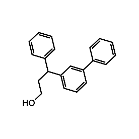 OCCC(c1ccccc1)c1cccc(-c2ccccc2)c1